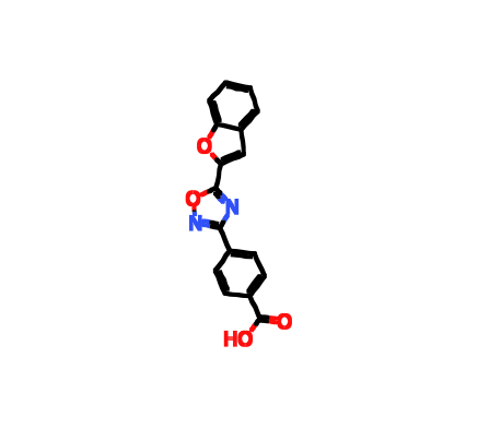 O=C(O)c1ccc(-c2noc(-c3cc4ccccc4o3)n2)cc1